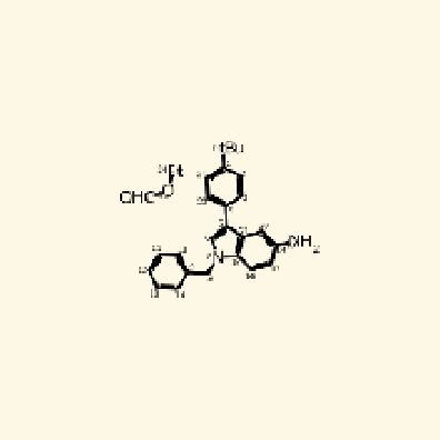 CC(C)(C)c1ccc(-c2cn(Cc3ccccc3)c3ccc(N)cc23)cc1.CCOC=O